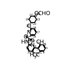 Cc1cccc(C)c1-c1nc(NS(=O)(=O)c2cccc(O[C@H]3CC[C@@H](OC=O)CC3)n2)ccc1Cl